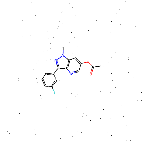 CC(=O)Oc1cnc2c(-c3cccc(F)c3)nn(C)c2c1